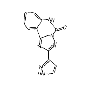 O=c1[nH]c2ccccc2c2nc(-c3cc[nH]n3)nn12